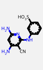 N#Cc1c(N)cc(N)nc1Nc1cccc(S(=O)(=O)O)c1